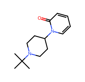 CC(C)(C)N1CCC(n2ccccc2=O)CC1